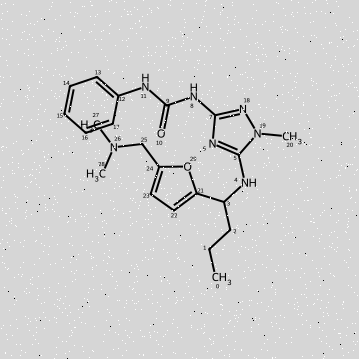 CCCC(Nc1nc(NC(=O)Nc2ccccc2)nn1C)c1ccc(CN(C)C)o1